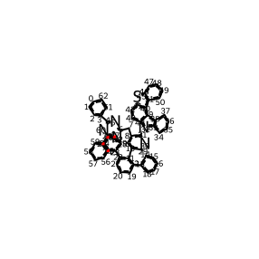 c1ccc(-c2nc(Cc3cc(-c4c(-c5ccccc5)cccc4-c4ccccc4)cnc3-n3c4ccccc4c4c5c(ccc43)sc3ccccc35)nc(-c3ccccc3)n2)cc1